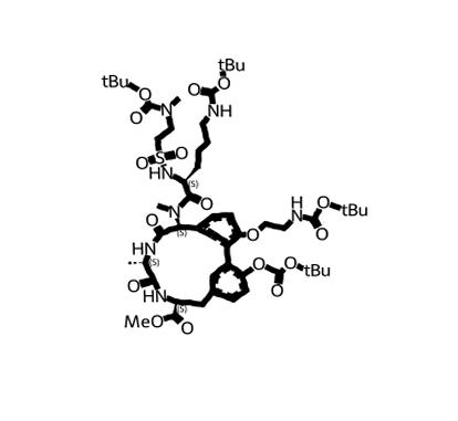 COC(=O)[C@@H]1Cc2ccc(OC(=O)OC(C)(C)C)c(c2)-c2cc(ccc2OCCNC(=O)OC(C)(C)C)[C@H](N(C)C(=O)[C@H](CCCCNC(=O)OC(C)(C)C)NS(=O)(=O)CCN(C)C(=O)OC(C)(C)C)C(=O)N[C@@H](C)C(=O)N1